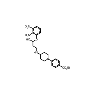 CCOC(=O)c1ccc(N2CCC(NCCC(O)Oc3cccc([N+](=O)[O-])c3N)CC2)cc1